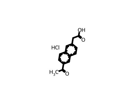 CC(=O)c1ccc2cc(CC(=O)O)ccc2c1.Cl